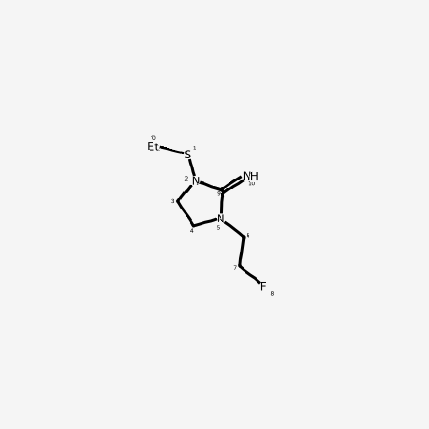 CCSN1CCN(CCF)C1=N